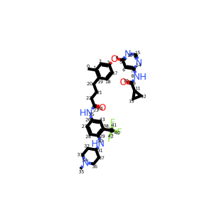 Cc1cc(Oc2cc(NC(=O)C3CC3)ncn2)ccc1CCCC(=O)Nc1ccc(NC2CCN(C)CC2)c(C(F)(F)F)c1